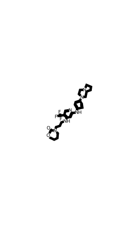 O=C1OCCCCN1CCCNc1cc(Nc2ccc(N3CCN4CCCC4C3)cc2)ncc1C(F)(F)F